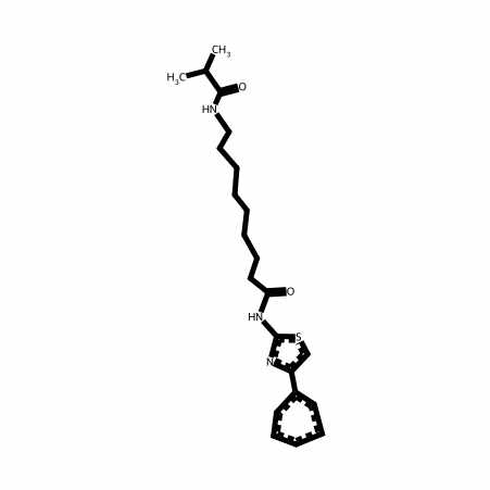 CC(C)C(=O)NCCCCCCCCC(=O)Nc1nc(-c2ccccc2)cs1